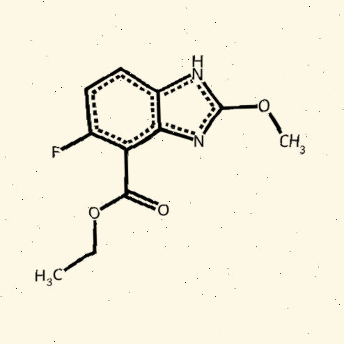 CCOC(=O)c1c(F)ccc2[nH]c(OC)nc12